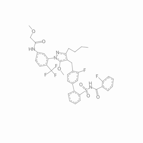 CCCCc1nn(-c2cc(NC(=O)COC)ccc2C(F)(F)F)c(OC)c1Cc1ccc(-c2ccccc2S(=O)(=O)NC(=O)c2ccccc2F)cc1F